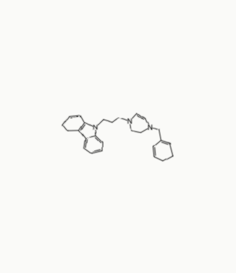 C1=CC(CN2C=CN(CCCn3c4c(c5ccccc53)CCC=C4)CC2)=CCC1